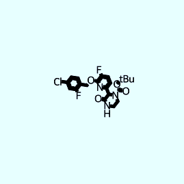 CC(C)(C)OC(=O)N1CCNC(=O)C1c1ccc(F)c(OCc2ccc(Cl)cc2F)n1